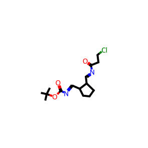 CC(C)(C)OC(=O)/N=C/C1CCCC1/C=N/C(=O)CCCl